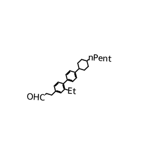 CCCCCC1CCC(c2ccc(-c3ccc(CCC=O)cc3CC)cc2)CC1